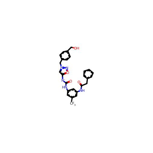 O=C(Cc1ccccc1)Nc1cc(NC(=O)[N-]c2c[n+](Cc3ccc(CO)cc3)no2)cc(C(F)(F)F)c1